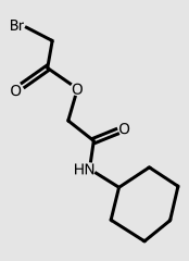 O=C(COC(=O)CBr)NC1CCCCC1